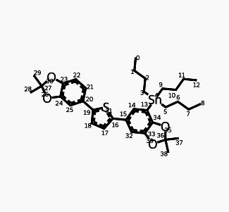 CCC[CH2][Sn]([CH2]CCC)([CH2]CCC)[c]1cc(-c2ccc(-c3ccc4c(c3)OC(C)(C)O4)s2)cc2c1OC(C)(C)O2